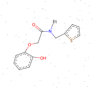 CCN(Cc1cccs1)C(=O)COc1ccccc1O